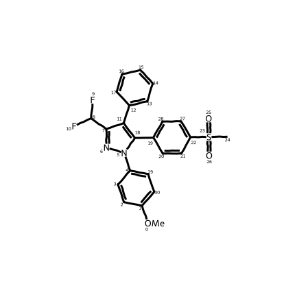 COc1ccc(-n2nc(C(F)F)c(-c3ccccc3)c2-c2ccc(S(C)(=O)=O)cc2)cc1